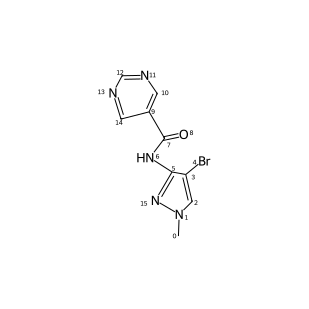 Cn1cc(Br)c(NC(=O)c2cncnc2)n1